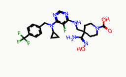 N/C(=N\O)C1(CNc2ncnc(N(Cc3ccc(C(F)(F)F)cc3)C3CC3)c2F)CCN(C(=O)O)CC1